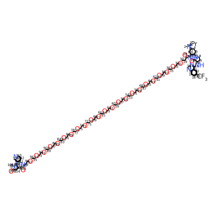 CC(C)N(C)[C@@H]1CC[C@H](N2CC[C@H](Nc3ncnc4ccc(C(F)(F)F)cc34)C2=O)[C@H](NC(=O)CCOCCOCCOCCOCCOCCOCCOCCOCCOCCOCCOCCOCCOCCOCCOCCOCCOCCOCCOCCOCCOCCOCCOCCNC(=O)[C@@H]2CC(=O)N(C)[C@H]2c2cccnc2)C1